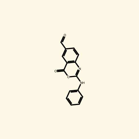 O=Cc1ccc2nc(Nc3ccccc3)oc(=O)c2c1